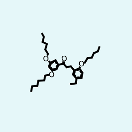 CCCCCCOc1cc(OCCCCCC)cc(C(=O)CCc2cc(CC)ccc2OCCCCCC)c1